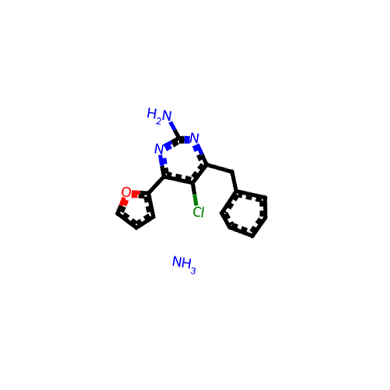 N.Nc1nc(Cc2ccccc2)c(Cl)c(-c2ccco2)n1